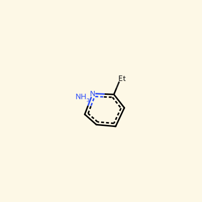 CCc1ccccn1.N